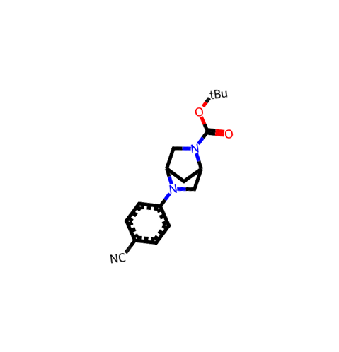 CC(C)(C)OC(=O)N1CC2CC1CN2c1ccc(C#N)cc1